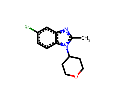 Cc1nc2cc(Br)ccc2n1C1CCOCC1